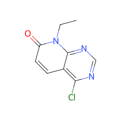 CCn1c(=O)ccc2c(Cl)ncnc21